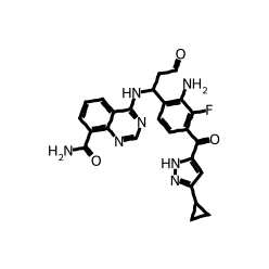 NC(=O)c1cccc2c(NC(CC=O)c3ccc(C(=O)c4cc(C5CC5)n[nH]4)c(F)c3N)ncnc12